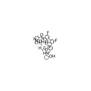 COc1nc(-c2cc(F)cc(-c3cc(F)cc(NC(=O)c4ccnn(C)c4=O)c3Cl)c2Cl)ccc1CN[C@@H]1CCCC[C@@H]1O